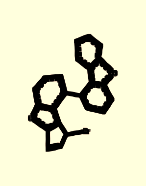 BrC1C=Cc2oc3cccc(-c4cccc5oc6ccccc6c45)c3c21